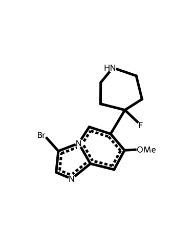 COc1cc2ncc(Br)n2cc1C1(F)CCNCC1